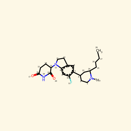 [2H]N1CCC(c2cc3c(cc2F)N(C2CCC(=O)NC2=O)CC3)CC1CCCC